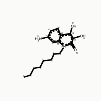 CCCCCCCCn1c(=O)c(O)c(O)c2ccc(N)cc21